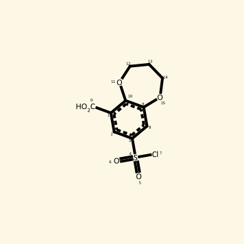 O=C(O)c1cc(S(=O)(=O)Cl)cc2c1OCCCO2